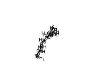 Cc1ncsc1-c1ccccc1CNC(=O)[C@@]1(O)CCN(C(=O)[C@@H](NC(=O)COCCNC(=O)CC2CCN(Cc3nc4cc(NC(=O)c5ccc6c(cnn6C)c5)ccc4[nH]3)C2)C(C)(C)C)C1